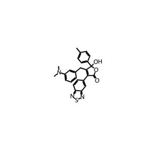 Cc1ccc(C2(O)OC(=O)C(c3ccc4nsnc4c3)=C2Cc2cccc(N(C)C)c2)cc1